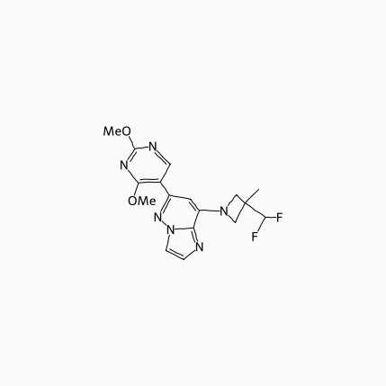 COc1ncc(-c2cc(N3CC(C)(C(F)F)C3)c3nccn3n2)c(OC)n1